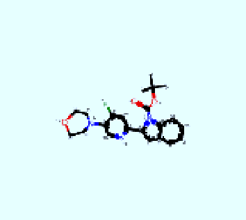 CC(C)(C)OC(=O)n1c(-c2cc(F)c(N3CCOCC3)cn2)cc2ccccc21